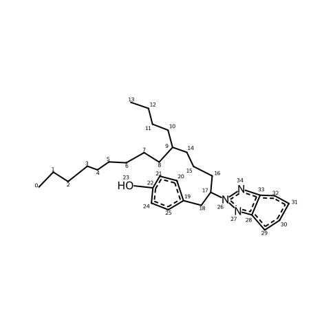 CCCCCCCCCC(CCCC)CCCC(Cc1ccc(O)cc1)n1nc2ccccc2n1